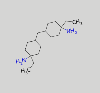 CCC1(N)CCC(CC2CCC(N)(CC)CC2)CC1